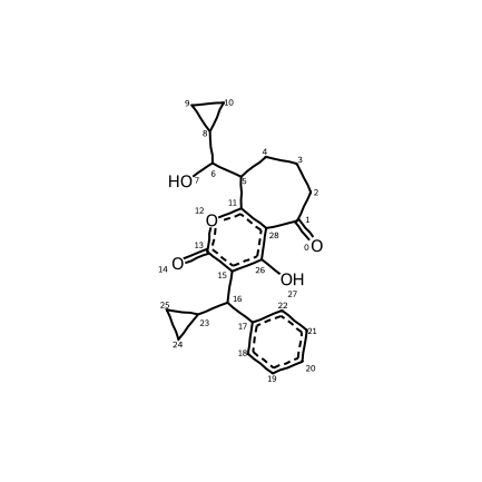 O=C1CCCC(C(O)C2CC2)c2oc(=O)c(C(c3ccccc3)C3CC3)c(O)c21